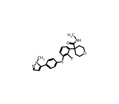 CNC(=O)C1(c2cccc(Sc3ccc(-c4ccnn4C)cc3)c2F)CCOCC1